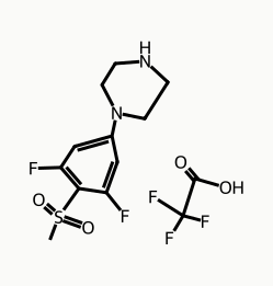 CS(=O)(=O)c1c(F)cc(N2CCNCC2)cc1F.O=C(O)C(F)(F)F